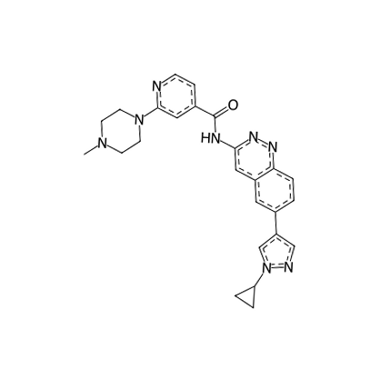 CN1CCN(c2cc(C(=O)Nc3cc4cc(-c5cnn(C6CC6)c5)ccc4nn3)ccn2)CC1